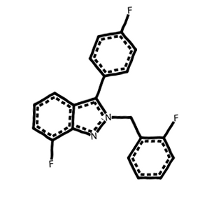 Fc1ccc(-c2c3cccc(F)c3nn2Cc2ccccc2F)cc1